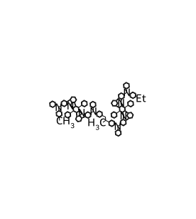 CCc1ccc(N(c2ccccc2)c2ccc3c4cccc5c6c(-c7ccccc7)c7c(c(-c8ccccc8)c6n(c3c2)c45)c2cccc3c4ccc(N(c5ccccc5)c5ccc(C(C)Cc6ccc(N(c8ccccc8)c8ccc9c%10cccc%11c%12c(-c%13ccccc%13)c%13c(c(-c%14ccccc%14)c%12n(c9c8)c%10%11)c8cccc9c%10ccc(N(c%11ccccc%11)c%11ccc(C)cc%11)cc%10n%13c98)cc6)cc5)cc4n7c32)cc1